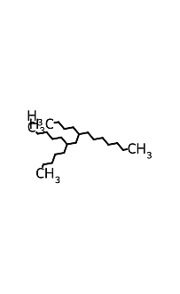 CCCCCCCC(CCCC)CC(CCCCC)CCCCC